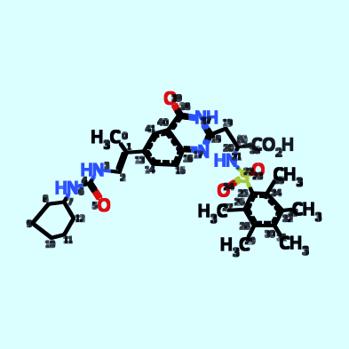 CC(=CNC(=O)NC1CCCCC1)c1ccc2nc(C[C@H](NS(=O)(=O)c3c(C)c(C)c(C)c(C)c3C)C(=O)O)[nH]c(=O)c2c1